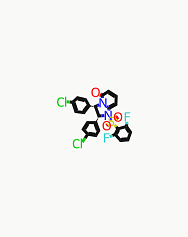 O=c1cccc2n1[C@@H](c1ccc(Cl)cc1)[C@@H](c1ccc(Cl)cc1)N2S(=O)(=O)c1c(F)cccc1F